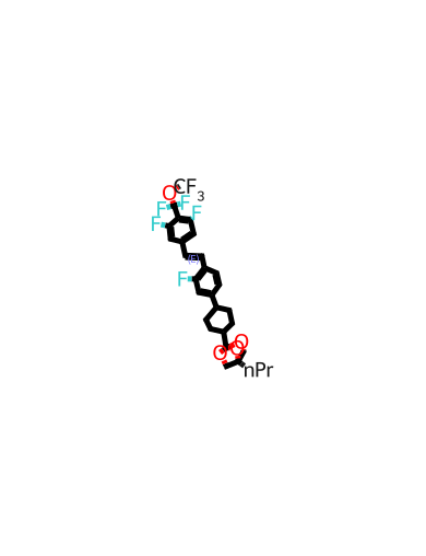 CCCC12COC(C3CCC(c4ccc(/C=C/c5cc(F)c(C(F)(F)OC(F)(F)F)c(F)c5)c(F)c4)CC3)(OC1)O2